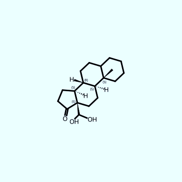 C[C@]12CCCCC1CC[C@@H]1[C@@H]2CC[C@]2(C(O)O)C(=O)CC[C@@H]12